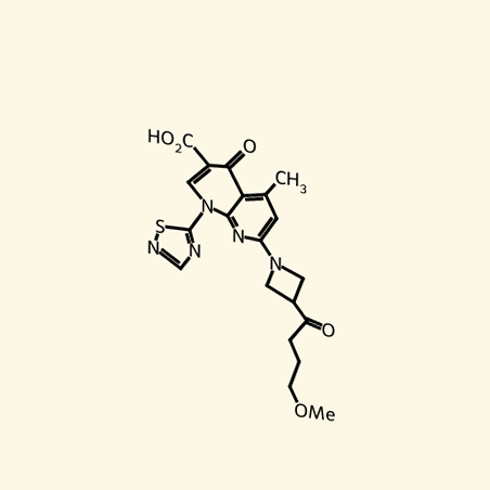 COCCCC(=O)C1CN(c2cc(C)c3c(=O)c(C(=O)O)cn(-c4ncns4)c3n2)C1